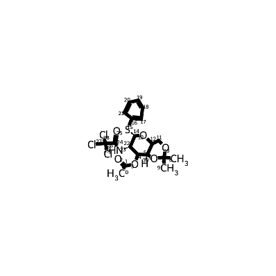 CC(=O)OC1[C@@H]2OC(C)(C)OCC2O[C@@H](Sc2ccccc2)[C@H]1NC(=O)C(Cl)(Cl)Cl